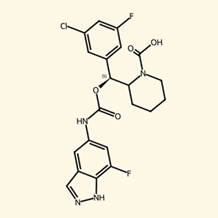 O=C(Nc1cc(F)c2[nH]ncc2c1)O[C@@H](c1cc(F)cc(Cl)c1)C1CCCCN1C(=O)O